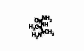 CC(N)C(C)NC(N)=O